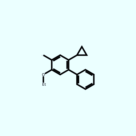 [CH2]c1cc(C2CC2)c(-c2ccccc2)cc1OCC